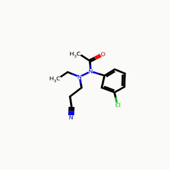 CCN(CCC#N)N(C(C)=O)c1cccc(Cl)c1